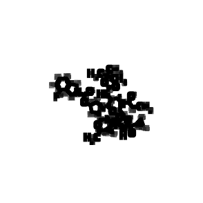 C=CCN(C[C@H](NC(=O)OC(C)(C)C)C(=O)N1CC(OC(=O)N2Cc3cccc(F)c3C2)C[C@H]1C(=O)N[C@]1(C(=O)NS(=O)(=O)C2CC2)C[C@H]1C=C)C(=O)C=C